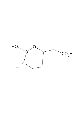 O=C(O)CC1CC[C@H](I)B(O)O1